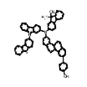 Cc1ccc(-c2ccc3ccc4c5cc(N(c6ccc7c(c6)C(C)(C)c6ccccc6-7)c6ccc7c8ccccc8n(-c8ccc9sc%10ccccc%10c9c8)c7c6)ccc5ccc4c3c2)cc1